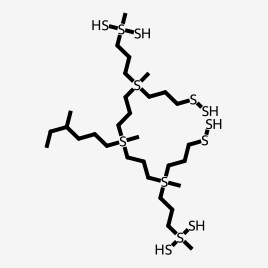 CCC(C)CCCS(C)(CCCS(C)(CCCSS)CCCS(C)(S)S)CCCS(C)(CCCSS)CCCS(C)(S)S